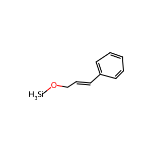 [SiH3]OC/C=C/c1ccccc1